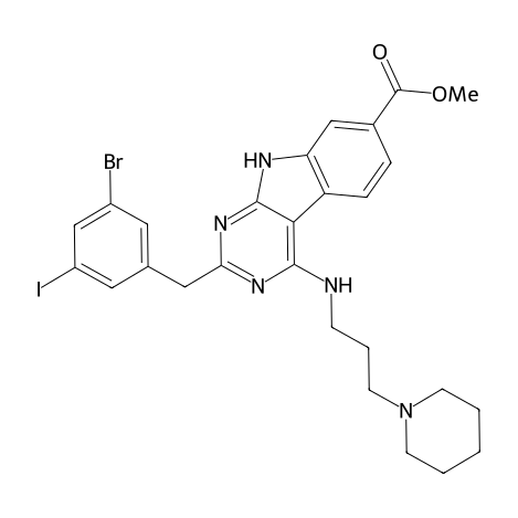 COC(=O)c1ccc2c(c1)[nH]c1nc(Cc3cc(Br)cc(I)c3)nc(NCCCN3CCCCC3)c12